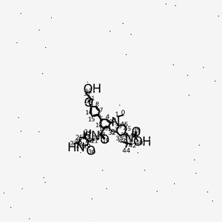 CCN(c1cc(-c2ccc(OCCO)cc2)cc(C(=O)NCc2c(C)cc(C)[nH]c2=O)c1C)[C@H]1CC[C@H](N(C(=O)O)C(C)(C)C)CC1